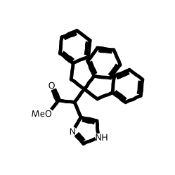 COC(=O)C(c1c[nH]cn1)C(Cc1ccccc1)(Cc1ccccc1)c1ccccc1